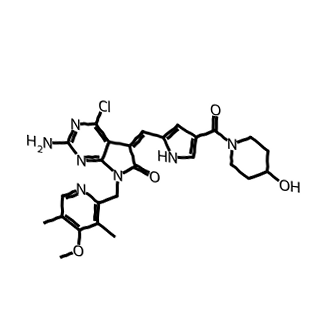 COc1c(C)cnc(CN2C(=O)C(=Cc3cc(C(=O)N4CCC(O)CC4)c[nH]3)c3c(Cl)nc(N)nc32)c1C